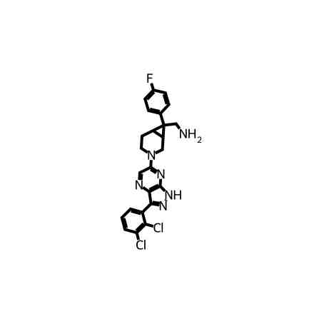 NCC1(c2ccc(F)cc2)C2CCN(c3cnc4c(-c5cccc(Cl)c5Cl)n[nH]c4n3)CC21